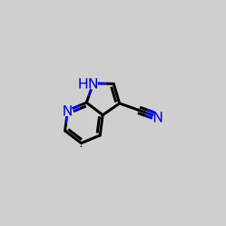 N#Cc1c[nH]c2nc[c]cc12